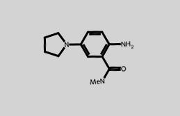 CNC(=O)c1cc(N2CCCC2)ccc1N